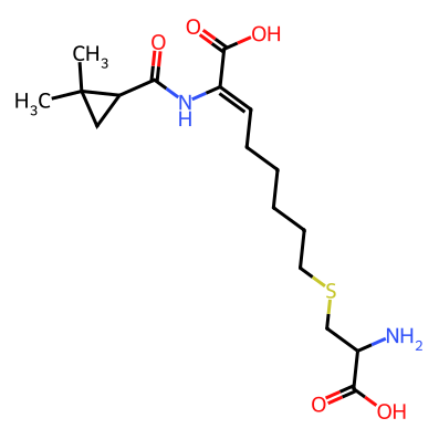 CC1(C)CC1C(=O)N/C(=C\CCCCCSCC(N)C(=O)O)C(=O)O